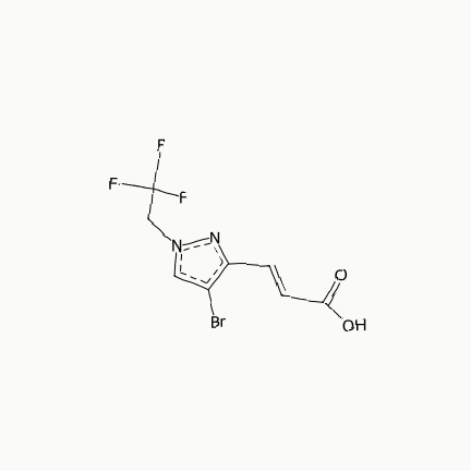 O=C(O)/C=C/c1nn(CC(F)(F)F)cc1Br